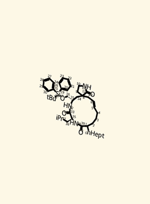 CCCCCCCC1CCC/C=C/CC2(CCNC2=O)C[C@@H](CO[Si](c2ccccc2)(c2ccccc2)C(C)(C)C)NC(=O)[C@H](CC(C)C)NC1=O